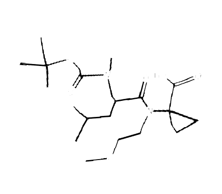 COCCN(C(=O)C(CC(C)C)N(C)C(=O)OC(C)(C)C)C1(C(=O)O)CC1